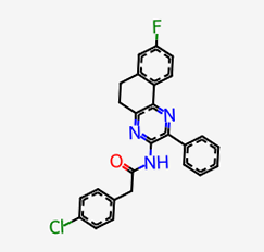 O=C(Cc1ccc(Cl)cc1)Nc1nc2c(nc1-c1ccccc1)-c1ccc(F)cc1CC2